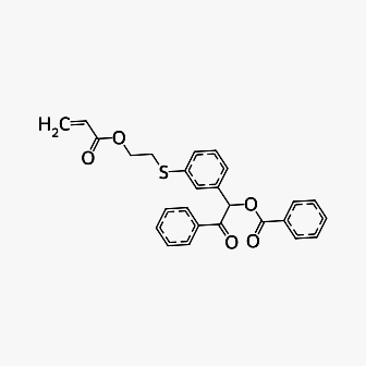 C=CC(=O)OCCSc1cccc(C(OC(=O)c2ccccc2)C(=O)c2ccccc2)c1